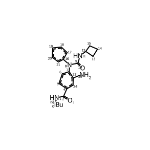 CC[C@H](C)NC(=O)c1c[c]c(N(C(=O)NC2CCC2)c2ccccc2)c(N)c1